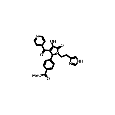 COC(=O)c1ccc(C2C(C(=O)c3ccncc3)=C(O)C(=O)N2CCc2c[nH]cn2)cc1